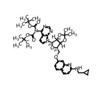 CC(C)(C)OC(=O)N(C(=O)OC(C)(C)C)c1ncnc2c1ccn2[C@@H]1O[C@H](COc2ccc3ccc(NCC4CC4)nc3c2)[C@H]2OC(C)(C)O[C@H]21